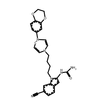 N#Cc1ccc2cc(NC(N)=O)n(CCCCN3C=CCN(c4ccc5c(c4)OCCO5)C=C3)c2c1